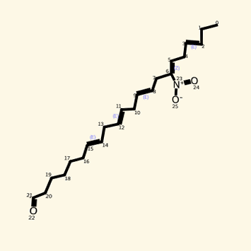 CC/C=C/C/C=C(/C/C=C/C/C=C/C/C=C/CCCCC[C]=O)[N+](=O)[O-]